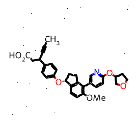 CC#CC(CC(=O)O)c1ccc(O[C@@H]2CCc3c2ccc(OC)c3-c2ccc(OC3CCOC3)nc2)cc1